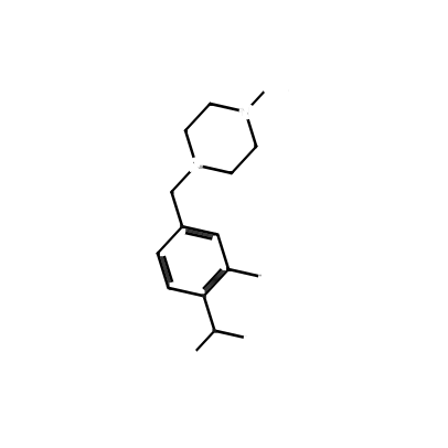 CC(C)c1ccc(CN2CCN(C)CC2)cc1F